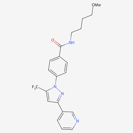 COCCCCNC(=O)c1ccc(-n2nc(-c3cccnc3)cc2C(F)(F)F)cc1